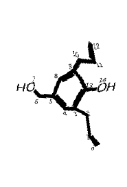 C=CCc1cc(CO)cc(CC=C)c1O